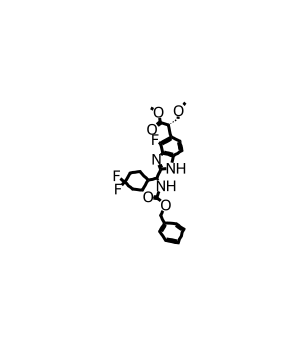 COC[C@@H](C(=O)OC)c1ccc2[nH]c([C@@H](NC(=O)OCc3ccccc3)C3CCC(F)(F)CC3)nc2c1F